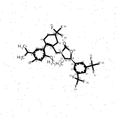 COc1cc(F)c(C(C)C)cc1C1=C(CN2C(=O)O[C@@H](c3cc(C(F)(F)F)cc(C(F)(F)F)c3)[C@@H]2C)CC(C(F)(F)F)CC1